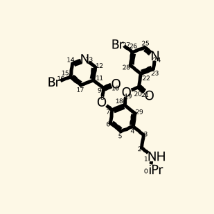 CC(C)NCCc1ccc(OC(=O)c2cncc(Br)c2)c(OC(=O)c2cncc(Br)c2)c1